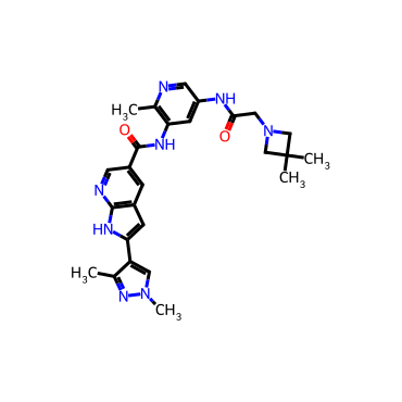 Cc1ncc(NC(=O)CN2CC(C)(C)C2)cc1NC(=O)c1cnc2[nH]c(-c3cn(C)nc3C)cc2c1